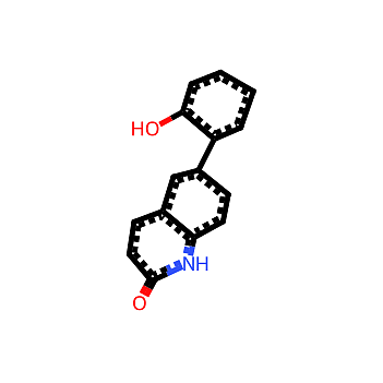 O=c1ccc2cc(-c3ccccc3O)ccc2[nH]1